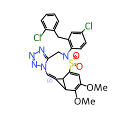 COC1=C(OC)C2/C3=C/n4nnnc4CN(c4ccc(Cl)cc4Cc4ccccc4Cl)S(=O)(=O)C(=C1)C32